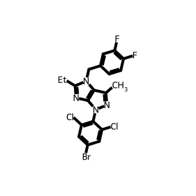 CCc1nc2c(c(C)nn2-c2c(Cl)cc(Br)cc2Cl)n1Cc1ccc(F)c(F)c1